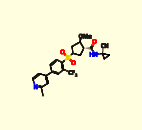 CO[C@@H]1CC(S(=O)(=O)c2ccc(-c3ccnc(C)c3)cc2C(F)(F)F)C[C@H]1C(=O)NC1(C#N)CC1